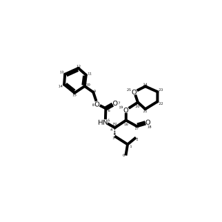 CC(C)C[C@H](NC(=O)OCc1ccccc1)C(C=O)OC1CCCCO1